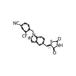 N#Cc1ccc(Cn2ncc3cc(/C=C4\SC(=O)NC4=O)ccc32)c(C(F)(F)F)c1